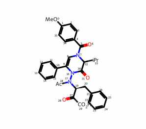 COc1ccc(C(=O)N2C=C(c3ccccc3)N(N(C(C)=O)[C@@H](Cc3ccccc3)C(=O)C(=O)O)C(=O)C2C(C)C)cc1